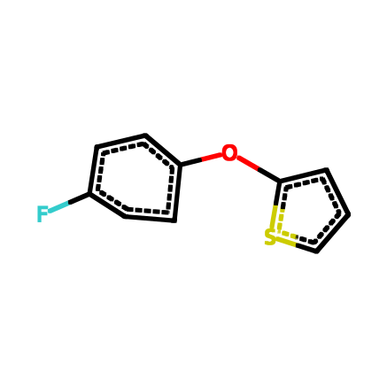 Fc1ccc(Oc2cccs2)cc1